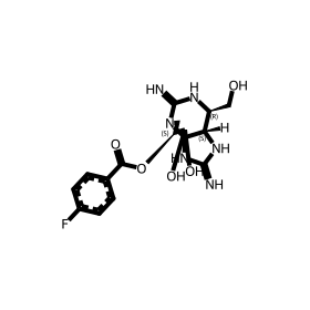 N=C1N[C@H]2[C@H](CO)NC(=N)N3C[C@H](OC(=O)c4ccc(F)cc4)C(O)(O)C23N1